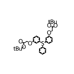 CC(C)(C)OC(=O)COc1cccc([S+](c2ccccc2)c2cccc(OCC(=O)OC(C)(C)C)c2)c1